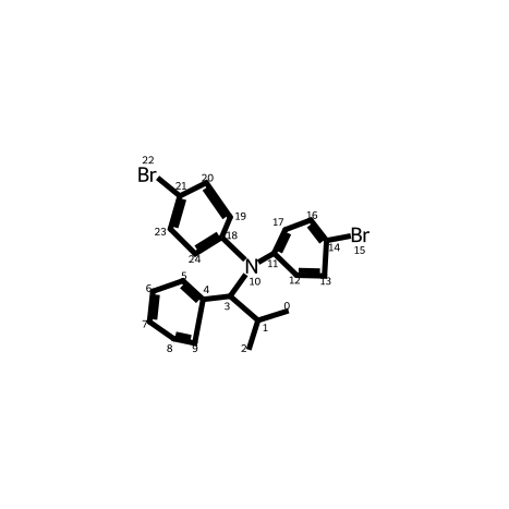 CC(C)C(c1ccccc1)N(c1ccc(Br)cc1)c1ccc(Br)cc1